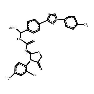 CC(=O)NC(NC(=S)/N=C1\SCC(=O)N1c1ccc(C)cc1C(C)C)c1ccc(-c2ncn(-c3ccc(C(F)(F)F)cc3)n2)cc1